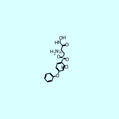 Cl.N[C@@H](CS(=O)(=O)c1ccc(Oc2ccccc2)cc1)C(=O)NO